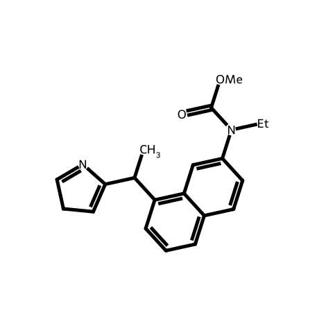 CCN(C(=O)OC)c1ccc2cccc(C(C)C3=CCC=N3)c2c1